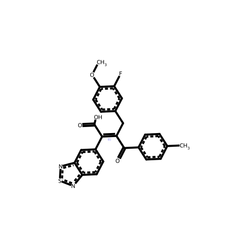 COc1ccc(C/C(C(=O)c2ccc(C)cc2)=C(\C(=O)O)c2ccc3nsnc3c2)cc1F